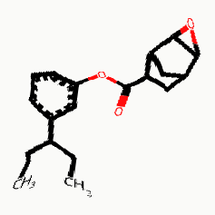 CCC(CC)c1cccc(OC(=O)C2CC3CC2C2OC32)c1